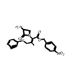 CC(CSc1ccccc1)=C(C(=O)OCc1ccc([N+](=O)[O-])cc1)N1CC(N)C1=O